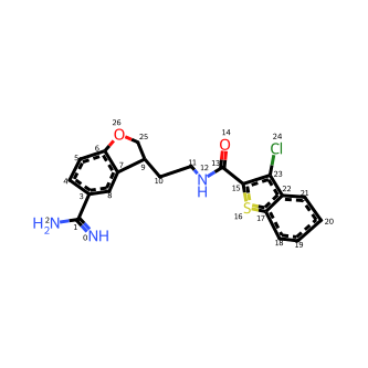 N=C(N)c1ccc2c(c1)C(CCNC(=O)c1sc3ccccc3c1Cl)CO2